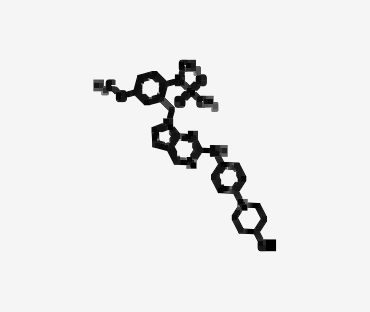 COc1ccc(N(C)S(C)(=O)=O)c(Cn2ccc3cnc(Nc4ccc(N5CCC(O)CC5)cc4)nc32)c1